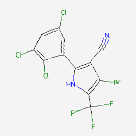 N#Cc1c(-c2cc(Cl)cc(Cl)c2Cl)[nH]c(C(F)(F)F)c1Br